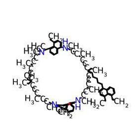 C=Cc1cccc2c(CCCCCC3(CC)CCCC(C)CCC(C)Nc4ccc(C=C)c5c(cccc45)C(=C)N(C)C(C)CCC(C)CCCC(CC)(CC)CCCC(C)CCC(C)N4C(=C)c5cccc6c(ccc(c56)C4=C)NC(C)CCC(C)CCC3)ccc(C=C)c12